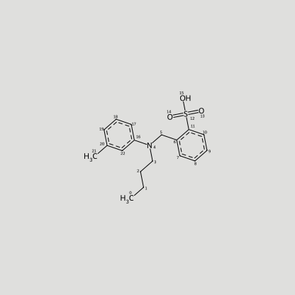 CCCCN(Cc1ccccc1S(=O)(=O)O)c1cccc(C)c1